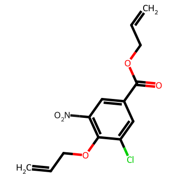 C=CCOC(=O)c1cc(Cl)c(OCC=C)c([N+](=O)[O-])c1